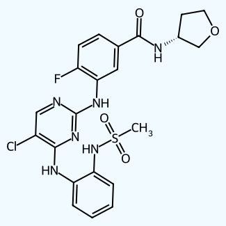 CS(=O)(=O)Nc1ccccc1Nc1nc(Nc2cc(C(=O)N[C@@H]3CCOC3)ccc2F)ncc1Cl